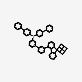 c1ccc(-c2ccc(N(c3ccc(-c4ccccc4)cc3)c3cccc(-c4cccc(-c5cccc6c5-c5ccccc5C65C6CC7CC8CC5C786)c4)c3)cc2)cc1